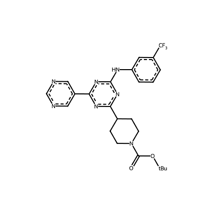 CC(C)(C)OC(=O)N1CCC(c2nc(Nc3cccc(C(F)(F)F)c3)nc(-c3cncnc3)n2)CC1